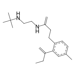 C=C(CCc1ccc(C)cc1C(=C)CC)NCCNC(C)(C)C